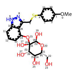 COc1ccc(SCc2n[nH]c3cccc(O[C@]4(O)[C@@H](O)O[C@H](CO)[C@@H](O)[C@@H]4O)c23)cc1